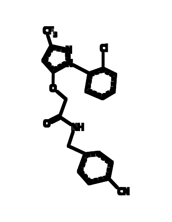 N#Cc1ccc(CNC(=O)COc2cc(C(F)(F)F)nn2-c2ccccc2Cl)cc1